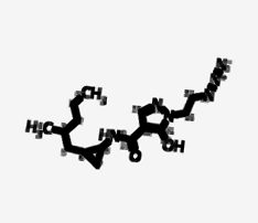 CCCC(C)CC1CC1NC(=O)c1cnn(CCN=[N+]=[N-])c1O